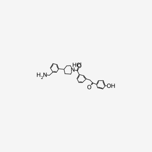 Cl.NCc1cccc(C2CCN(C(=O)c3cccc(CC(=O)c4ccc(O)cc4)c3)CC2)c1